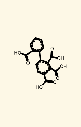 O=C(O)c1ccccc1-c1ccc(C(=O)O)c(C(=O)O)c1C(=O)O